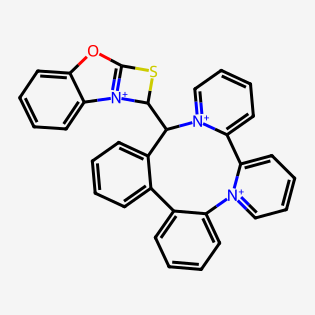 c1ccc2c(c1)-c1ccccc1-[n+]1ccccc1-c1cccc[n+]1C2C1Sc2oc3ccccc3[n+]21